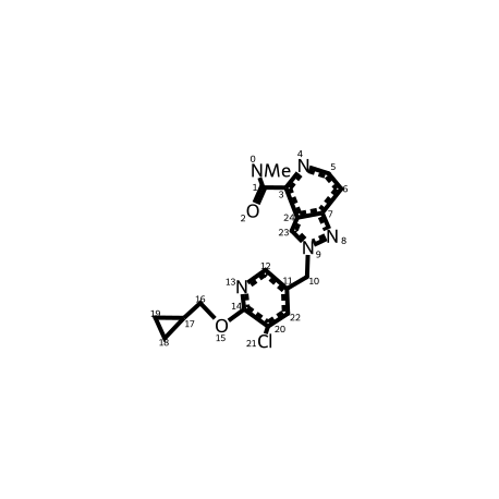 CNC(=O)c1nccc2nn(Cc3cnc(OCC4CC4)c(Cl)c3)cc12